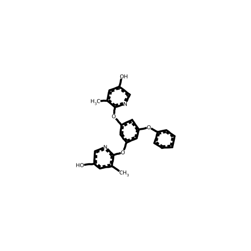 Cc1cc(O)cnc1Oc1cc(Oc2ccccc2)cc(Oc2ncc(O)cc2C)c1